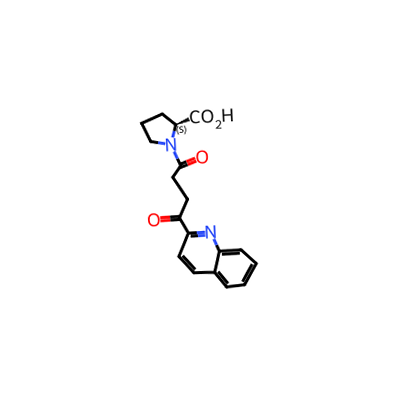 O=C(CCC(=O)N1CCC[C@H]1C(=O)O)c1ccc2ccccc2n1